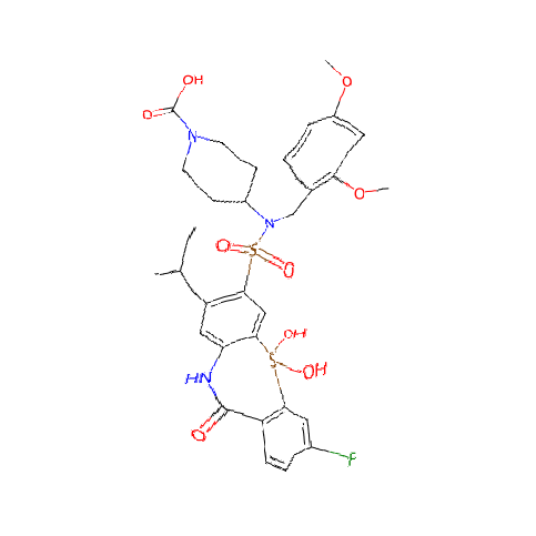 COc1ccc(CN(C2CCN(C(=O)O)CC2)S(=O)(=O)c2cc3c(cc2C(C)C)NC(=O)c2ccc(F)cc2S3(O)O)c(OC)c1